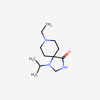 CCN1CCC2(CC1)C(=O)NCN2C(C)C